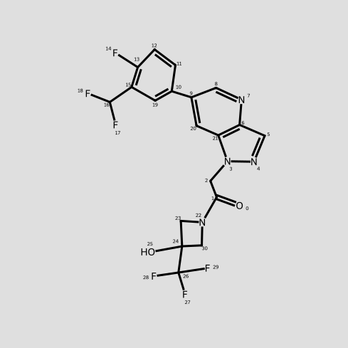 O=C(Cn1ncc2ncc(-c3ccc(F)c(C(F)F)c3)cc21)N1CC(O)(C(F)(F)F)C1